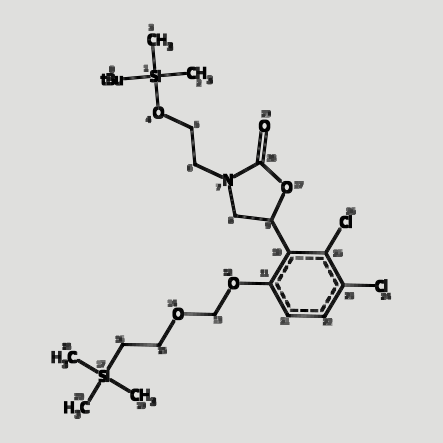 CC(C)(C)[Si](C)(C)OCCN1CC(c2c(OCOCC[Si](C)(C)C)ccc(Cl)c2Cl)OC1=O